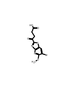 COc1nc2nc(C(=O)CCC(=O)O)sc2cc1Br